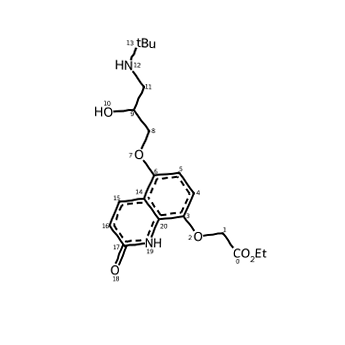 CCOC(=O)COc1ccc(OCC(O)CNC(C)(C)C)c2ccc(=O)[nH]c12